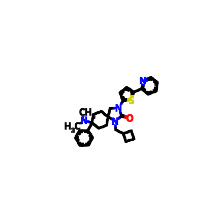 CN(C)C1(c2ccccc2)CCC2(CC1)CN(c1ccc(-c3ccccn3)s1)C(=O)N2CC1CCC1